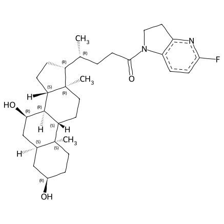 C[C@H](CCC(=O)N1CCc2nc(F)ccc21)[C@H]1CC[C@H]2[C@@H]3[C@H](O)C[C@@H]4C[C@H](O)CC[C@]4(C)[C@H]3CC[C@]12C